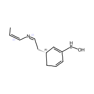 C/C=C\N=C/C[C@@H]1C=C(BO)C=CC1